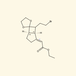 CCOC(=O)/C=C1\CC[C@@H]2[C@H]1C(CCBr)C21OCCO1